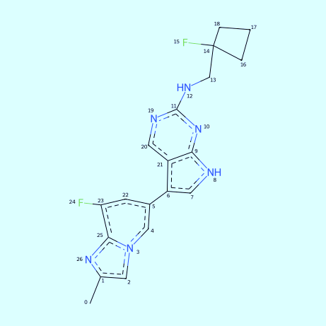 Cc1cn2cc(-c3c[nH]c4nc(NCC5(F)CCC5)ncc34)cc(F)c2n1